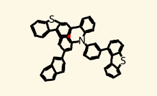 c1cc(-c2ccc3ccccc3c2)cc(N(c2cccc(-c3cccc4sc5ccccc5c34)c2)c2ccccc2-c2ccc3c(c2)sc2ccccc23)c1